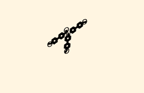 COc1ccc(-c2ccc(C(=O)N(c3ccc(-c4ccc(OC)cc4)cc3)c3ccc(-c4ccc(OC)cc4)cc3)cc2)cc1